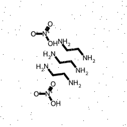 NCCN.NCCN.NCCN.O=[N+]([O-])O.O=[N+]([O-])O